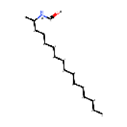 [CH2]C(CCCCCCCCCCCCCC)NC=O